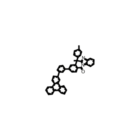 Cc1ccc(C2(C)c3cc(-c4cccc(-c5ccc6c7ccccc7c7ccccc7c6c5)c4)ccc3C(=O)n3c2nc2ccccc23)cc1